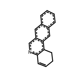 C1=Cc2ncc3cc4ccccc4cc3c2CC1